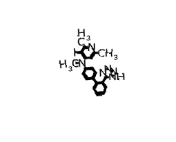 Cc1cc(N(C)c2ccc(-c3ccccc3-c3nnn[nH]3)cc2)c(I)c(C)n1